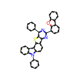 c1ccc(-c2nc(-c3cccc4c3oc3ccccc34)nc3c2sc2c3ccc3c2c2ccccc2n3-c2ccccc2)cc1